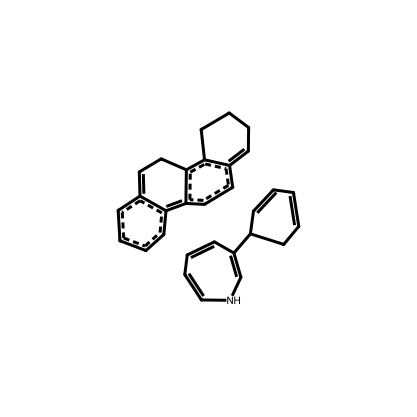 C1=CCC(C2=CNC=CC=C2)C=C1.C1=c2ccc3c(c2CCC1)CC=c1ccccc1=3